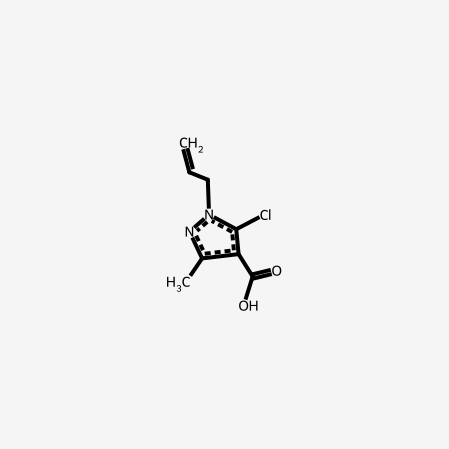 C=CCn1nc(C)c(C(=O)O)c1Cl